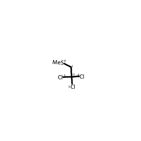 CSCC(Cl)(Cl)Cl